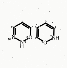 C1=CNOC=C1.C1=CONN=C1